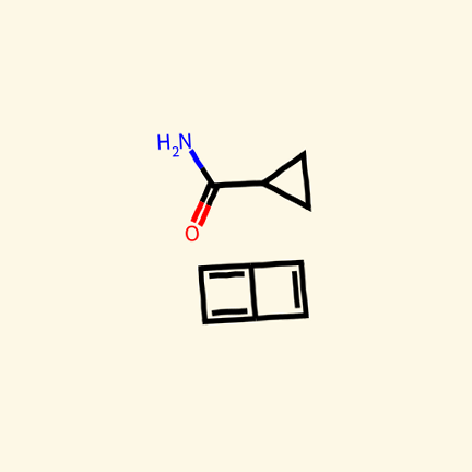 NC(=O)C1CC1.c1cc2ccc1-2